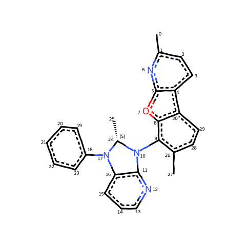 Cc1ccc2c(n1)oc1c(N3c4ncccc4N(c4ccccc4)[C@@H]3C)c(C)ccc12